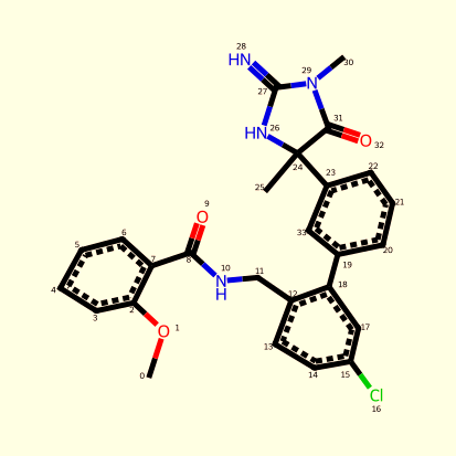 COc1ccccc1C(=O)NCc1ccc(Cl)cc1-c1cccc(C2(C)NC(=N)N(C)C2=O)c1